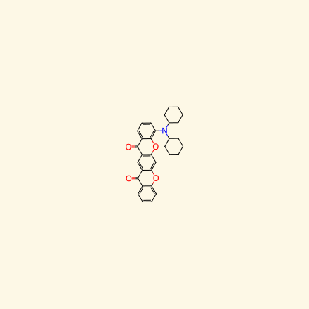 O=c1c2ccccc2oc2cc3oc4c(N(C5CCCCC5)C5CCCCC5)cccc4c(=O)c3cc12